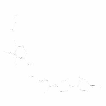 C[C@@H](CO/N=C/C(=O)N1CCN(c2ncc(C(F)(F)F)cn2)CC1)Nc1cnn(COCC[Si](C)(C)C)c(=O)c1C(F)(F)F